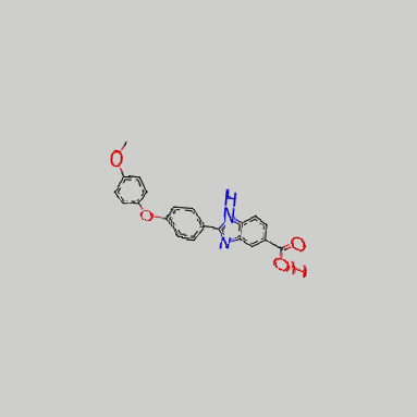 COc1ccc(Oc2ccc(-c3nc4cc(C(=O)O)ccc4[nH]3)cc2)cc1